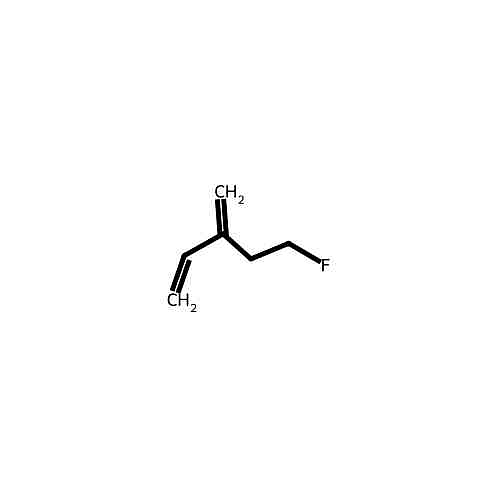 C=CC(=C)CCF